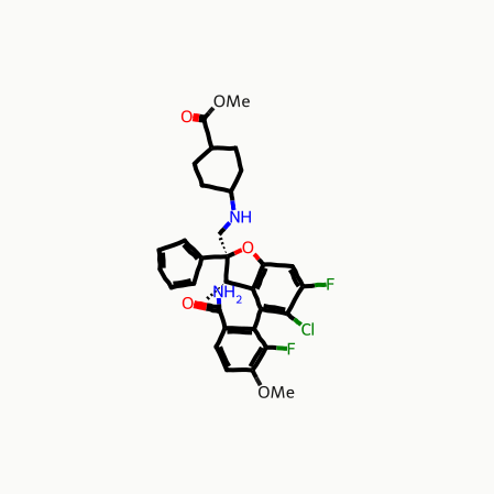 COC(=O)C1CCC(NC[C@]2(c3ccccc3)Oc3cc(F)c(Cl)c(-c4c(C(N)=O)ccc(OC)c4F)c3[C@@H]2C)CC1